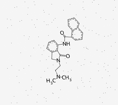 CN(C)CCN1Cc2cccc(NC(=O)c3cccc4ccccc34)c2C1=O